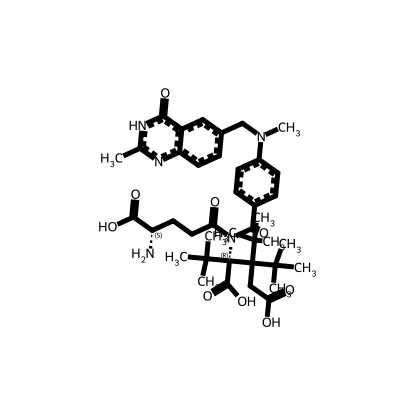 Cc1nc2ccc(CN(C)c3ccc(C(=O)N(C(=O)CC[C@H](N)C(=O)O)[C@](C(=O)O)(C(C)(C)C)C(CC(=O)O)(C(C)(C)C)C(C)(C)C)cc3)cc2c(=O)[nH]1